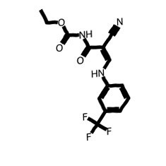 CCOC(=O)NC(=O)/C(C#N)=C\Nc1cccc(C(F)(F)F)c1